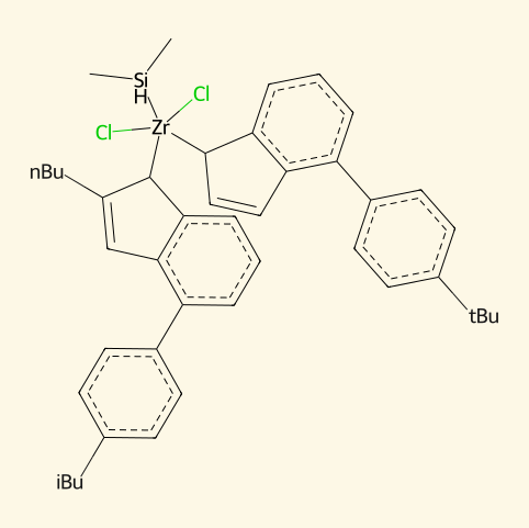 CCCCC1=Cc2c(-c3ccc(C(C)CC)cc3)cccc2[CH]1[Zr]([Cl])([Cl])([CH]1C=Cc2c(-c3ccc(C(C)(C)C)cc3)cccc21)[SiH](C)C